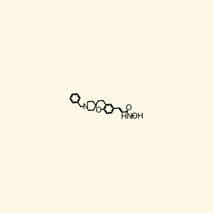 O=C(C=Cc1ccc2c(c1)CCC1(CCN(Cc3ccccc3)CC1)O2)NO